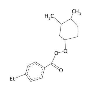 CCc1ccc(C(=O)OO[C]2CCC(C)C(C)C2)cc1